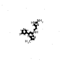 Cc1cnn2c(NCCc3c[nH]c(N)n3)cc(-c3cncc(F)c3)nc12